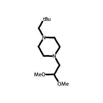 COC(CN1CCN(CC(C)(C)C)CC1)OC